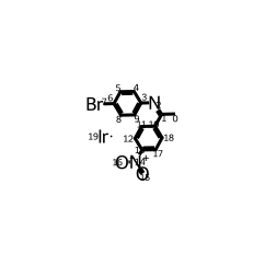 CC(=Nc1ccc(Br)cc1)c1ccc([N+](=O)[O-])cc1.[Ir]